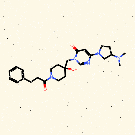 CN(C)C1CCN(c2cc(=O)n(CC3(O)CCN(C(=O)CCc4ccccc4)CC3)cn2)C1